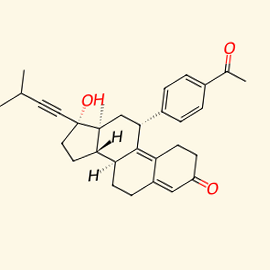 CC(=O)c1ccc([C@H]2C[C@@]3(C)[C@@H](CC[C@@]3(O)C#CC(C)C)[C@@H]3CCC4=CC(=O)CCC4=C32)cc1